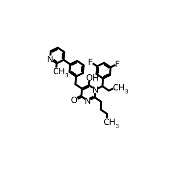 CCCCc1nc(=O)c(Cc2cccc(-c3cccnc3C)c2)c(O)n1C(CC)c1cc(F)cc(F)c1